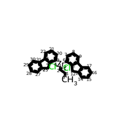 CC[CH]=[Zr]([Cl])([Cl])([c]1cccc2c1Cc1ccccc1-2)[c]1cccc2c1Cc1ccccc1-2